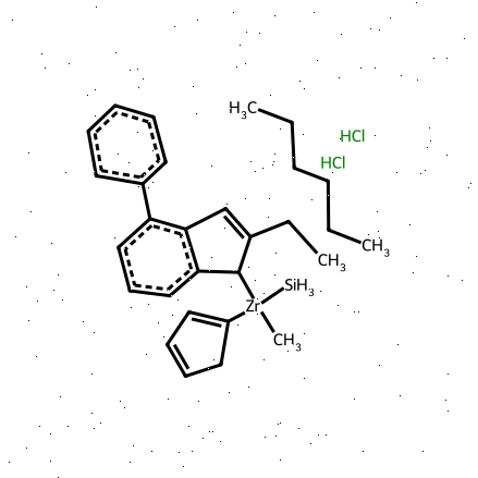 CCC1=Cc2c(-c3ccccc3)cccc2[CH]1[Zr]([CH3])([SiH3])[C]1=CC=CC1.CCCCCC.Cl.Cl